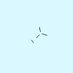 CN(C)C.[PH2][SnH]